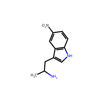 CC(N)Cc1c[nH]c2ccc([N+](=O)[O-])cc12